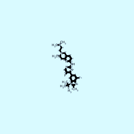 Cc1nc2c(F)cc(-c3nc(Nc4ccc5c(n4)C[C@@H](C)N(CCN(C)C)C5)ncc3F)cc2n1C(C)(C)C